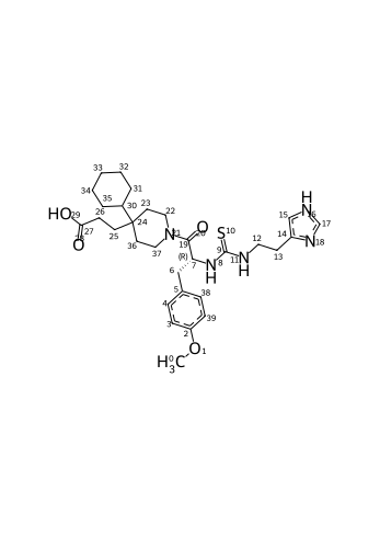 COc1ccc(C[C@@H](NC(=S)NCCc2c[nH]cn2)C(=O)N2CCC(CCC(=O)O)(C3CCCCC3)CC2)cc1